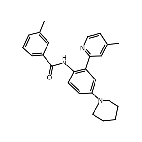 Cc1cccc(C(=O)Nc2ccc(N3CCCCC3)cc2-c2cc(C)ccn2)c1